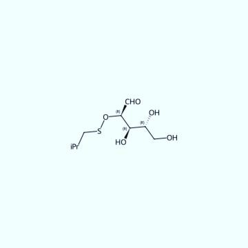 CC(C)CSO[C@@H](C=O)[C@H](O)[C@H](O)CO